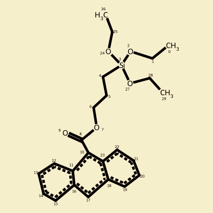 CCO[Si](CCCOC(=O)c1c2ccccc2cc2ccccc12)(OCC)OCC